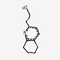 OCCc1ccc2c(n1)CCCC2